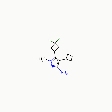 Cn1nc(N)c(C2CCC2)c1C1CC(F)(F)C1